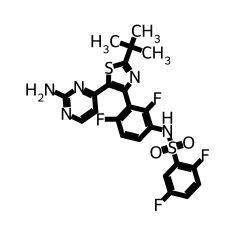 CC(C)(C)c1nc(-c2c(F)ccc(NS(=O)(=O)c3cc(F)ccc3F)c2F)c(-c2ccnc(N)n2)s1